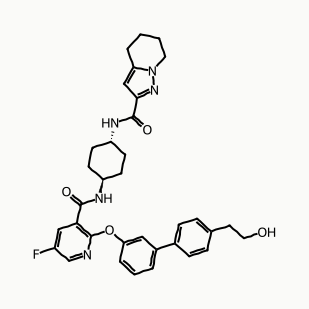 O=C(N[C@H]1CC[C@H](NC(=O)c2cc(F)cnc2Oc2cccc(-c3ccc(CCO)cc3)c2)CC1)c1cc2n(n1)CCCC2